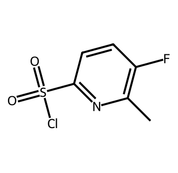 Cc1nc(S(=O)(=O)Cl)ccc1F